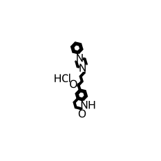 Cl.O=C1CCc2cc(C(=O)CCCN3CCN(c4ccccc4)CC3)ccc2N1